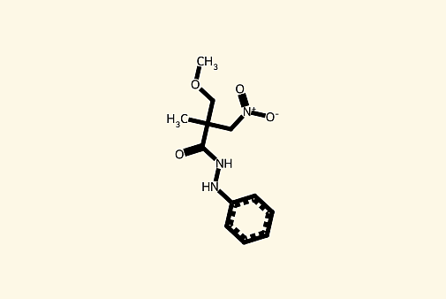 COCC(C)(C[N+](=O)[O-])C(=O)NNc1ccccc1